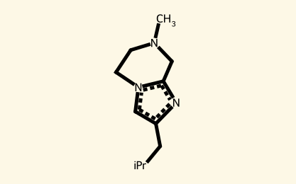 CC(C)Cc1cn2c(n1)CN(C)CC2